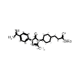 COC(=O)CCC1CCC(n2c(C)nn(-c3ccc(C(=N)N)cc3)c2=O)CC1